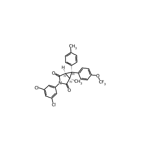 Cc1ccc([C@@]2(c3ccc(OC(F)(F)F)cc3)[C@@H]3C(=O)N(c4cc(Cl)cc(Cl)c4)C(=O)[C@@]32C)cc1